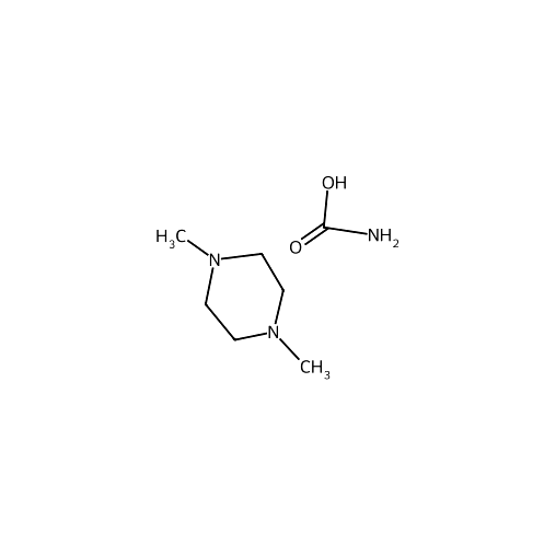 CN1CCN(C)CC1.NC(=O)O